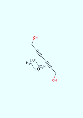 CS(=O)(=O)O.CS(=O)(=O)O.OCC#CC#CCO